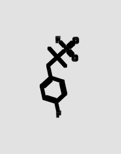 CC(C)(Cc1ccc(F)cc1)S(=O)(=O)F